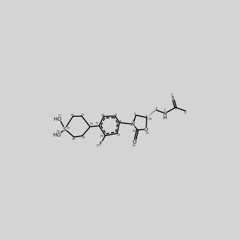 CC(=S)NC[C@H]1CN(c2ccc(C3CCS(O)(O)CC3)c(F)c2)C(=O)O1